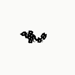 c1ccc(C2(c3ccc(-c4ccc5c(c4)-c4cccc6cccc(c46)S5)cc3)c3ccccc3-c3cc4ccccc4cc32)cc1